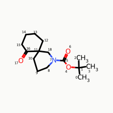 CC(C)(C)OC(=O)N1CCCC2(CCCCC2=O)C1